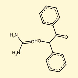 NC(N)=O.O=C(c1ccccc1)C(O)c1ccccc1